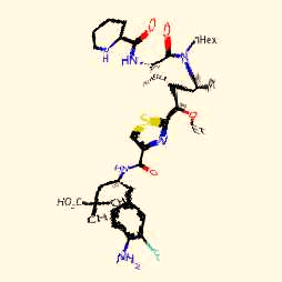 CCCCCCN(C(=O)[C@@H](NC(=O)C1CCCCN1)[C@@H](C)CC)[C@H](C[C@@H](OCC)c1nc(C(=O)N[C@@H](Cc2ccc(N)c(F)c2)CC(C)(C)C(=O)O)cs1)C(C)C